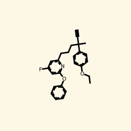 C#CC(C)(CCCc1cc(F)cc(Oc2ccccc2)n1)c1ccc(OCC)cc1